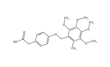 COc1c(C)c(COc2ccc(CC(=O)O)cc2)c(OC)c(OC)c1OC